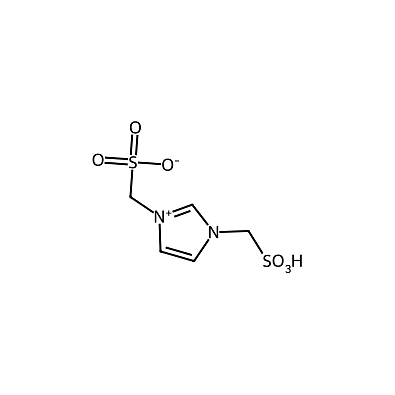 O=S(=O)([O-])C[n+]1ccn(CS(=O)(=O)O)c1